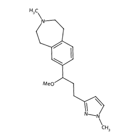 COC(CCc1ccn(C)n1)c1ccc2c(c1)CCN(C)CC2